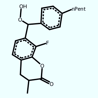 CCCCCc1ccc(C(OO)c2ccc3c(c2F)OC(=O)C(C)C3)cc1